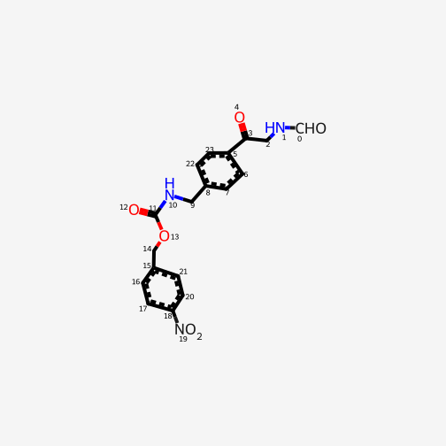 O=CNCC(=O)c1ccc(CNC(=O)OCc2ccc([N+](=O)[O-])cc2)cc1